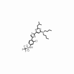 CCCCN(CCCC)c1cc(-c2nc(-c3ccc(NS(=O)(=O)C(F)(F)F)cc3Cl)cs2)nc(CC(C)C)n1